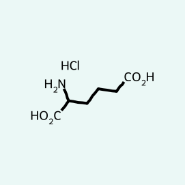 Cl.NC(CCCC(=O)O)C(=O)O